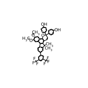 COc1cc2c3c(c4c(c2cc1OC)-c1ccc(-c2cc(C(F)(F)F)cc(C(F)(F)F)c2)cc1C4(C)C)C=CC(c1ccc(O)cc1)(c1ccc(O)cc1)O3